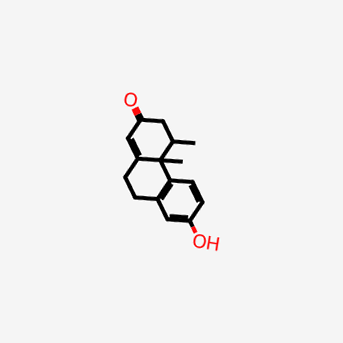 CC1CC(=O)C=C2CCc3cc(O)ccc3C21C